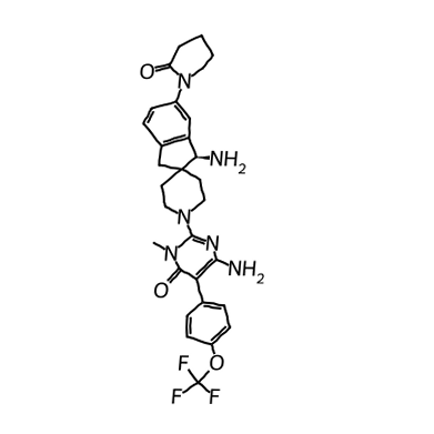 Cn1c(N2CCC3(CC2)Cc2ccc(N4CCCCC4=O)cc2[C@H]3N)nc(N)c(-c2ccc(OC(F)(F)F)cc2)c1=O